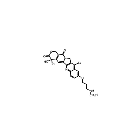 CCc1c2c(nc3ccc(OCCCNC(=O)O)cc13)-c1cc3c(c(=O)n1C2)COC(=O)[C@]3(O)CC